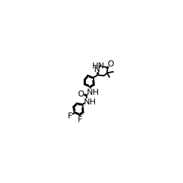 CC1(C)CC(c2cccc(NC(=O)Nc3ccc(F)c(F)c3)c2)=NNC1=O